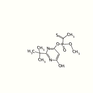 COP(=O)(Oc1cc(O)nc(C(C)(C)C)n1)C(C)=S